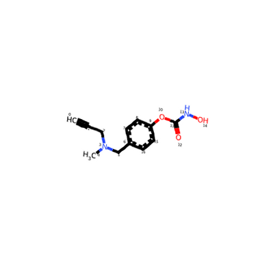 C#CCN(C)Cc1ccc(OC(=O)NO)cc1